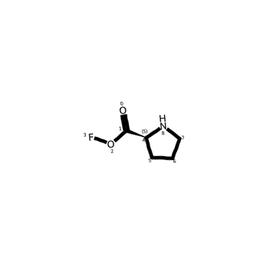 O=C(OF)[C@@H]1CCCN1